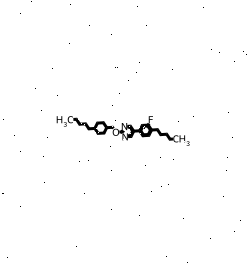 CCCCCc1ccc(-c2cnc(OCC3CCC(CCCCC)CC3)nc2)cc1F